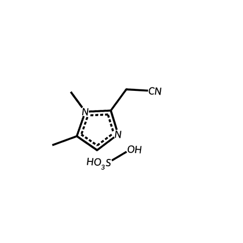 Cc1cnc(CC#N)n1C.O=S(=O)(O)O